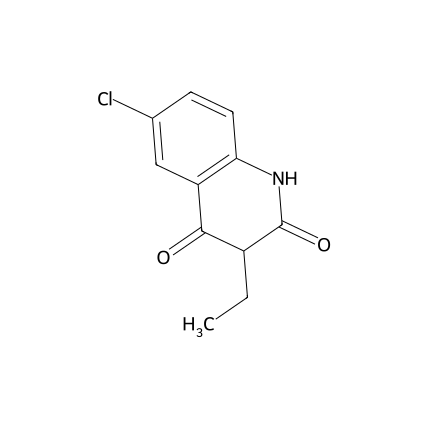 CCC1C(=O)Nc2ccc(Cl)cc2C1=O